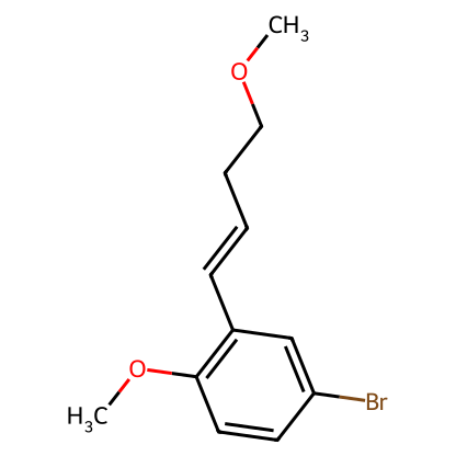 COCCC=Cc1cc(Br)ccc1OC